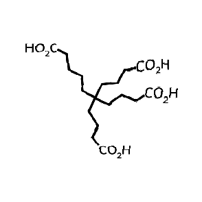 O=C(O)CCCCC(CCCC(=O)O)(CCCC(=O)O)CCCC(=O)O